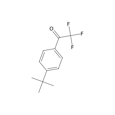 CC(C)(C)c1ccc(C(=O)C(F)(F)F)cc1